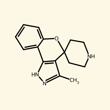 Cc1n[nH]c2c1C1(CCNCC1)Oc1ccccc1-2